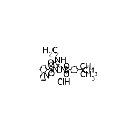 C=CCNC(=O)[C@H]1CN(S(=O)(=O)c2ccc(C(C)(C)C)cc2)CCN1S(=O)(=O)c1cccc2cccnc12.Cl